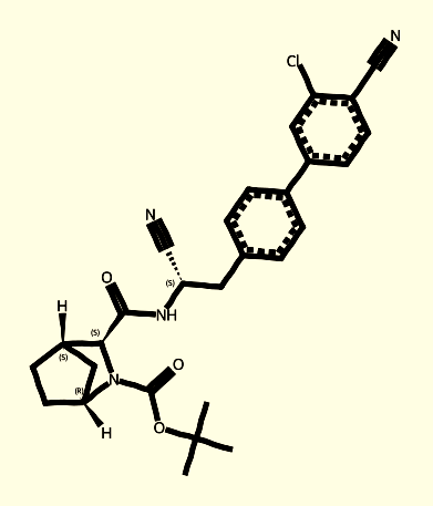 CC(C)(C)OC(=O)N1[C@@H]2CC[C@@H](C2)[C@H]1C(=O)N[C@H](C#N)Cc1ccc(-c2ccc(C#N)c(Cl)c2)cc1